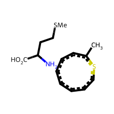 CSCCC(N)C(=O)O.Cc1cccccccs1